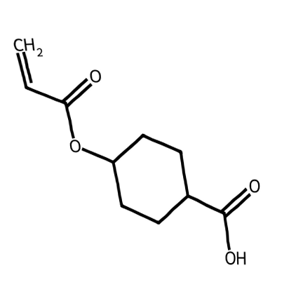 C=CC(=O)OC1CCC(C(=O)O)CC1